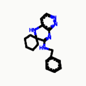 c1ccc(CNC2=Nc3nnccc3NC23CCCCC3)cc1